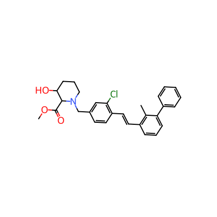 COC(=O)C1C(O)CCCN1Cc1ccc(C=Cc2cccc(-c3ccccc3)c2C)c(Cl)c1